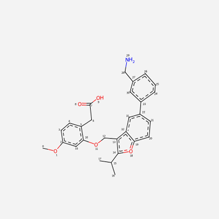 COc1ccc(CC(=O)O)c(OCc2c(C(C)C)oc3ccc(-c4cccc(CN)c4)cc23)c1